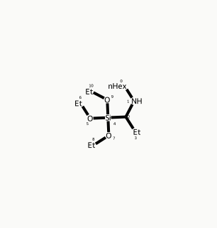 CCCCCCNC(CC)[Si](OCC)(OCC)OCC